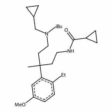 CCc1ccc(OC)cc1C(C)(CCNC(=O)C1CC1)CCN(CC1CC1)C(C)CC